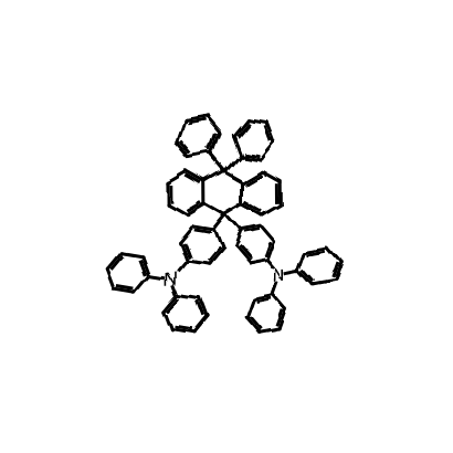 c1ccc(N(c2ccccc2)c2ccc(C3(c4ccc(N(c5ccccc5)c5ccccc5)cc4)c4ccccc4C(c4ccccc4)(c4ccccc4)c4ccccc43)cc2)cc1